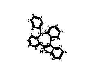 c1ccc(N2c3ccccc3-c3[nH]c4ccccc4c3-c3ccccc32)cc1